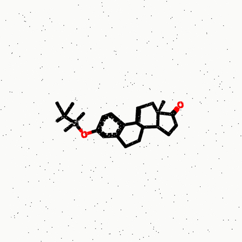 CC(C)(C)[Si](C)(C)Oc1ccc2c(c1)CCC1C2=CC[C@]2(C)C(=O)CCC12